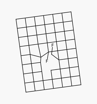 FCC12C34CC56C7C8C9CC%10C%11C%12C%13C%14C%15C%16CC%17C%18C%19C%20C%21CC%22C%23C%24C%25C%26C%27C%28CC%29C7C53C%29%28C%274C%261C%251C%243C%234C%22%21C%205C%197C%18%19C%16%17C%15%16C%14%15C%13%14C%12%13C(C%12C86C9%10C%11%12%13)C%146C8(F)C21C31C45C72C%16%19C6%15C812